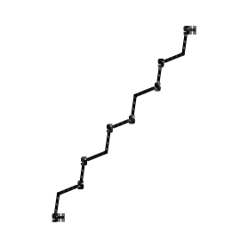 SCSSCSSCSSCS